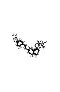 CCOC(C)(OCC)Oc1cccc2ccc(C=Cc3ccc(OC)cc3)nc12